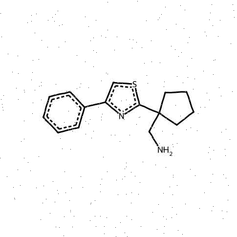 NCC1(c2nc(-c3ccccc3)cs2)CCCC1